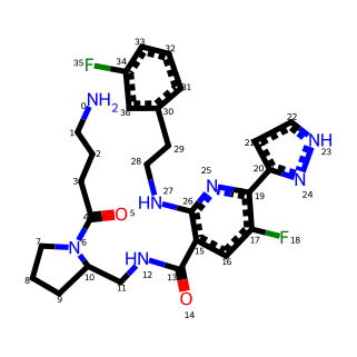 NCCCC(=O)N1CCCC1CNC(=O)c1cc(F)c(-c2cc[nH]n2)nc1NCCc1cccc(F)c1